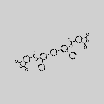 O=C(Oc1ccc(-c2ccc(-c3ccc(OC(=O)c4ccc5c(c4)C(=O)OC5=O)c(-c4ccccc4)c3)cc2)cc1-c1ccccc1)c1ccc2c(c1)C(=O)OC2=O